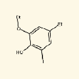 CCOc1cc(CC)cc(I)c1O